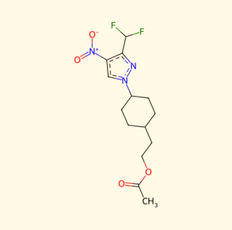 CC(=O)OCCC1CCC(n2cc([N+](=O)[O-])c(C(F)F)n2)CC1